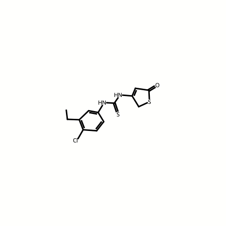 CCc1cc(NC(=S)NC2=CC(=O)SC2)ccc1Cl